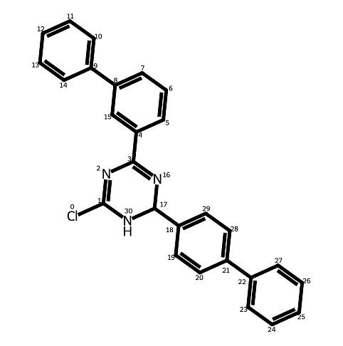 ClC1=NC(c2cccc(-c3ccccc3)c2)=NC(c2ccc(-c3ccccc3)cc2)N1